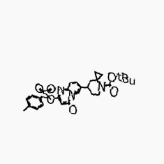 Cc1ccc(S(=O)(=O)Oc2cc(=O)n3cc(C4CCN(C(=O)OC(C)(C)C)C5(CC5)C4)ccc3n2)cc1